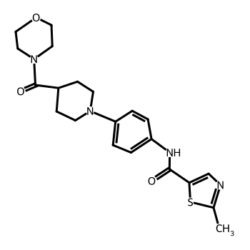 Cc1ncc(C(=O)Nc2ccc(N3CCC(C(=O)N4CCOCC4)CC3)cc2)s1